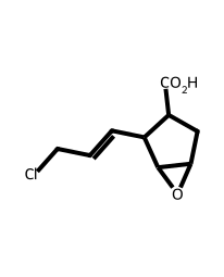 O=C(O)C1CC2OC2C1C=CCCl